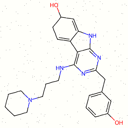 Oc1cccc(Cc2nc(NCCCN3CCCCC3)c3c4c([nH]c3n2)=CC(O)CC=4)c1